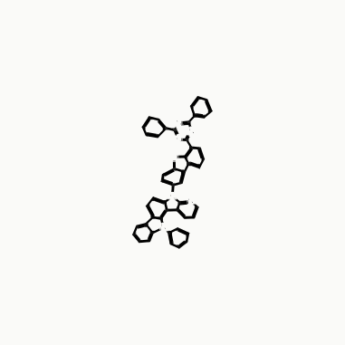 c1ccc(-c2nc(-c3ccccc3)nc(-c3cccc4c3oc3ccc(-n5c6ccc7c8ccccc8n(-c8ccccc8)c7c6c6cccnc65)cc34)n2)cc1